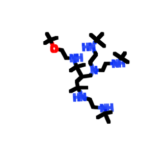 CC(C)(C)NCCNC(C)(C)CC(CN(CCNC(C)(C)C)CCNC(C)(C)C)C(C)(C)NCCOC(C)(C)C